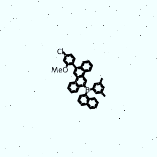 COc1cc(Cl)ccc1-c1cc2c3ccccc3c(B(c3cc(C)cc(C)c3)c3cccc4ccccc34)cc2c2ccccc12